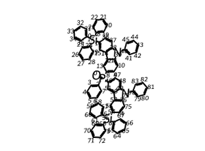 O=P(c1ccccc1)(c1ccc2c(c1)c1cc([Si](c3ccccc3)(c3ccccc3)c3ccccc3)ccc1n2-c1ccccc1)c1ccc2c(c1)c1cc([Si](c3ccccc3)(c3ccccc3)c3ccccc3)ccc1n2-c1ccccc1